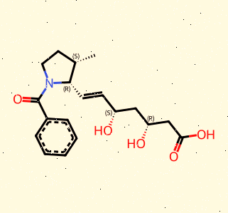 C[C@H]1CCN(C(=O)c2ccccc2)[C@H]1C=C[C@@H](O)C[C@@H](O)CC(=O)O